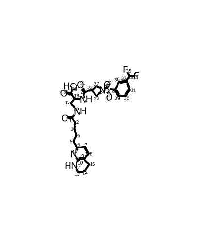 O=C(CCCCc1ccc2c(n1)NCCC2)NCC(NC(=O)C1CN(S(=O)(=O)c2cccc(C(F)F)c2)C1)C(=O)O